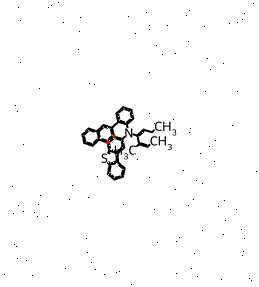 C/C=C(C)\C(=C/CC)N(c1ccc2sc3ccccc3c2c1)c1ccccc1-c1ccc2ccccc2c1